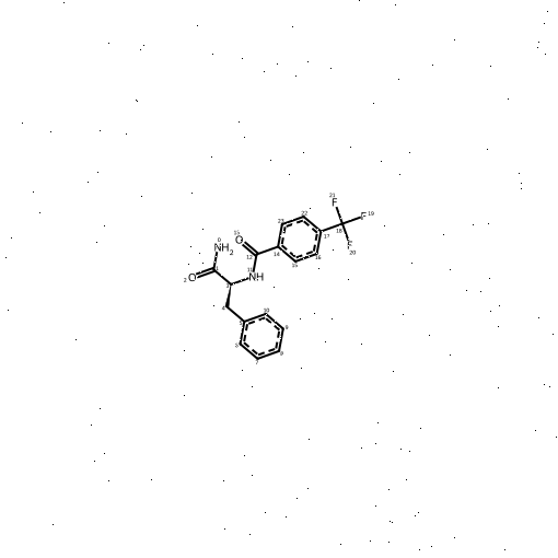 NC(=O)[C@H](Cc1ccccc1)NC(=O)c1ccc(C(F)(F)F)cc1